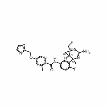 Cc1nc(OCc2ncco2)cnc1C(=O)Nc1ccc(F)c([C@@]2(C)N=C(N)S[C@]3(CF)[C@H]2[C@@H]3C)c1